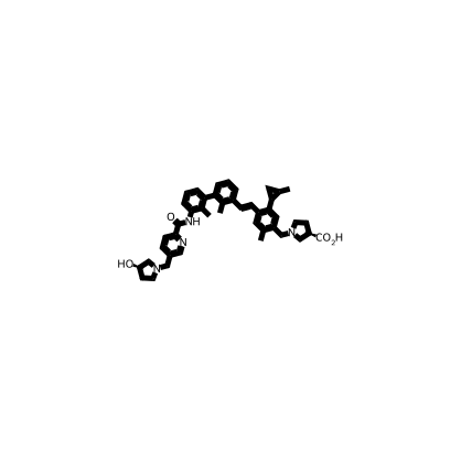 Cc1cc(/C=C/c2cccc(-c3cccc(NC(=O)c4ccc(CN5CC[C@@H](O)C5)cn4)c3C)c2C)c(C2CC2C)cc1CN1CC[C@@H](C(=O)O)C1